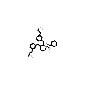 C=CCc1cccc(C=C2CCCN(S(=O)(=O)c3ccccc3)C2=Cc2cccc(CC=C)c2)c1